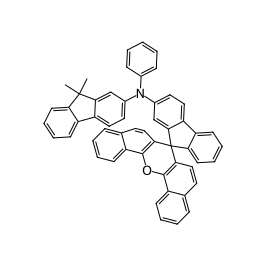 CC1(C)c2ccccc2-c2ccc(N(c3ccccc3)c3ccc4c(c3)C3(c5ccccc5-4)c4ccc5ccccc5c4Oc4c3ccc3ccccc43)cc21